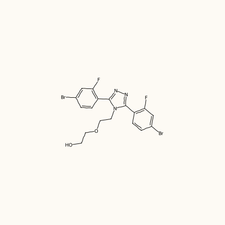 OCCOCCn1c(-c2ccc(Br)cc2F)nnc1-c1ccc(Br)cc1F